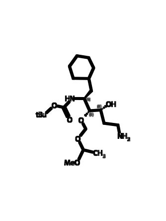 COC(C)OCO[C@@H]([C@H](O)CCN)[C@H](CC1CCCCC1)NC(=O)OC(C)(C)C